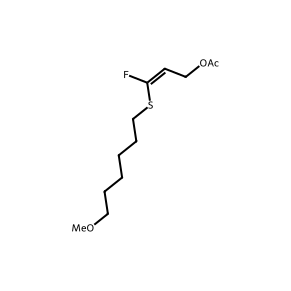 COCCCCCCS/C(F)=C\COC(C)=O